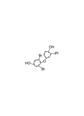 CC(C)c1cc(Oc2c(Br)cc(O)cc2Br)ccc1O